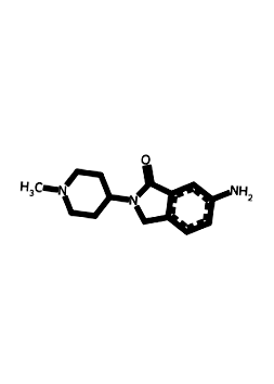 CN1CCC(N2Cc3ccc(N)cc3C2=O)CC1